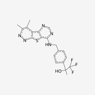 Cc1nnc2sc3c(NCc4ccc(C(C)(O)C(F)(F)F)cc4)ncnc3c2c1C